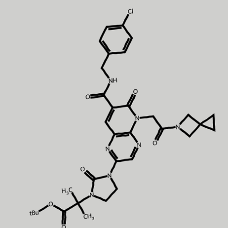 CC(C)(C)OC(=O)C(C)(C)N1CCN(c2cnc3c(cc(C(=O)NCc4ccc(Cl)cc4)c(=O)n3CC(=O)N3CC4(CC4)C3)n2)C1=O